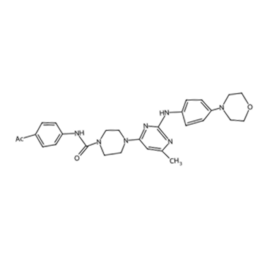 CC(=O)c1ccc(NC(=O)N2CCN(c3cc(C)nc(Nc4ccc(N5CCOCC5)cc4)n3)CC2)cc1